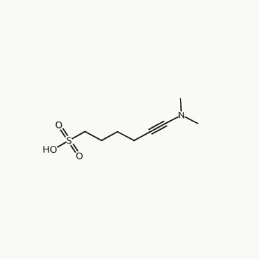 CN(C)C#CCCCCS(=O)(=O)O